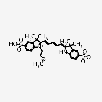 COCC[N+]1=C(/C=C/C=C/C=C2\Nc3ccc(S(=O)(=O)[O-])cc3C2(C)C)C(C)(C)c2cc(S(=O)(=O)O)ccc21